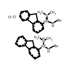 CCC(C)[NH][Hf+]([c]1cccc2c1Cc1ccccc1-2)[SiH](C)C.CCC(C)[NH][Hf+]([c]1cccc2c1Cc1ccccc1-2)[SiH](C)C.[Cl-].[Cl-]